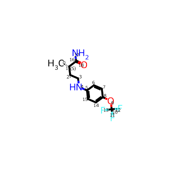 C[C@@H]([CH]CNc1ccc(OC(F)(F)F)cc1)C(N)=O